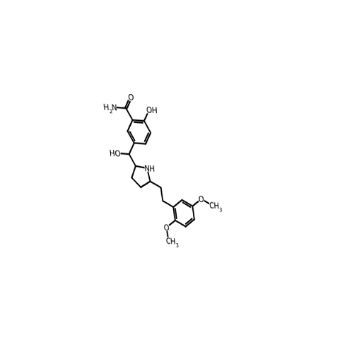 COc1ccc(OC)c(CCC2CCC(C(O)c3ccc(O)c(C(N)=O)c3)N2)c1